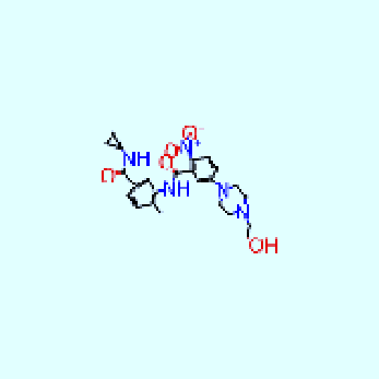 Cc1ccc(C(=O)NC2CC2)cc1NC(=O)c1cc(N2CCN(CCO)CC2)ccc1[N+](=O)[O-]